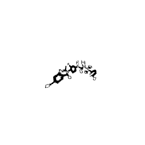 Cc1nc2cc(Cl)ccc2c(=O)n1-c1ccc(NC(=O)NS(=O)(=O)c2ccc(Cl)s2)cc1F